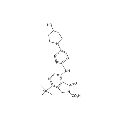 [CH3][Sn]([CH3])([CH3])[c]1ncc(Nc2ccc(N3CCC(O)CC3)cn2)c2c1CN(C(=O)O)C2=O